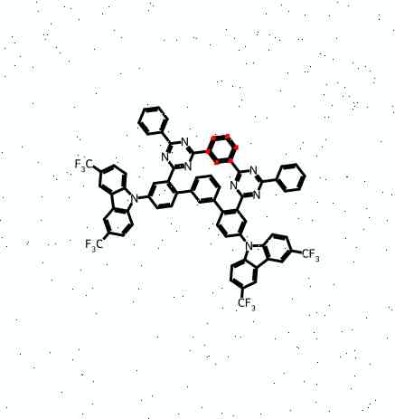 FC(F)(F)c1ccc2c(c1)c1cc(C(F)(F)F)ccc1n2-c1ccc(-c2cccc(-c3ccc(-n4c5ccc(C(F)(F)F)cc5c5cc(C(F)(F)F)ccc54)cc3-c3nc(-c4ccccc4)nc(-c4ccccc4)n3)c2)c(-c2nc(-c3ccccc3)nc(-c3ccccc3)n2)c1